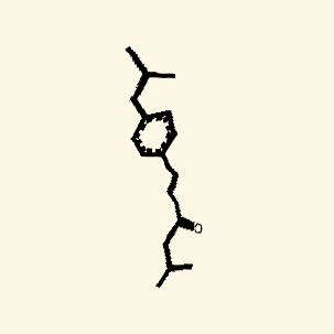 CC(C)CC(=O)CCc1ccc(CC(C)C)cc1